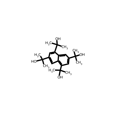 CC(C)(O)c1cc(C(C)(C)O)c2cc(C(C)(C)O)cc(C(C)(C)O)c2c1